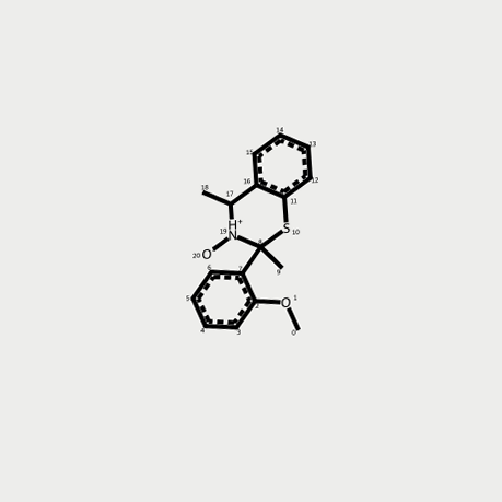 COc1ccccc1C1(C)Sc2ccccc2C(C)[NH+]1[O-]